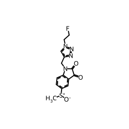 C[S+]([O-])c1ccc2c(c1)C(=O)C(=O)N2Cc1cn(CCF)nn1